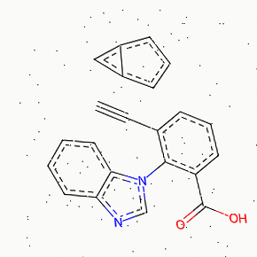 C#Cc1cccc(C(=O)O)c1-n1cnc2ccccc21.c1cc2cc-2c1